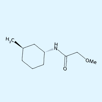 COCC(=O)N[C@@H]1CCC[C@@H](C)C1